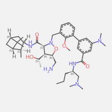 CCC[C@H](CN(C)C)NC(=O)c1cc(-c2cccc(CN3O[C@@H](CN)[C@@H]([C@H](C)O)[C@H]3C(=O)N[C@H]3C[C@H]4C[C@@H]([C@@H]3C)C4(C)C)c2OC)cc(N(C)C)c1